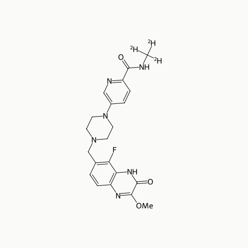 [2H]C([2H])([2H])NC(=O)c1ccc(N2CCN(Cc3ccc4nc(OC)c(=O)[nH]c4c3F)CC2)cn1